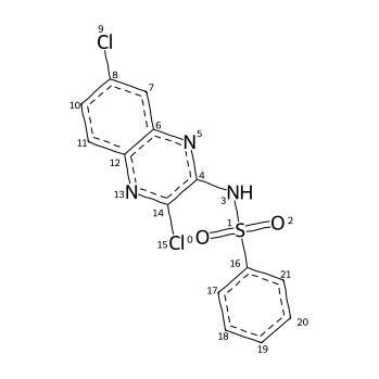 O=S(=O)(Nc1nc2cc(Cl)ccc2nc1Cl)c1ccccc1